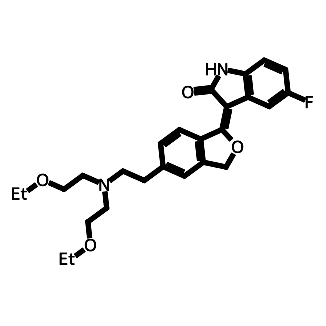 CCOCCN(CCOCC)CCc1ccc2c(c1)CO/C2=C1/C(=O)Nc2ccc(F)cc21